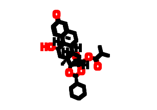 CC(C)C(=O)OCC(=O)[C@@]12O[C@H](C3CCCCC3)O[C@H]1C[C@H]1[C@@H]3CCC4=CC(=O)C=C[C@]4(C)[C@H]3[C@@H](O)C[C@@]12C